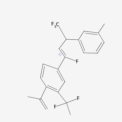 C=C(C)c1ccc(/C(F)=C/C(c2cccc(C)c2)C(F)(F)F)cc1C(C)(F)F